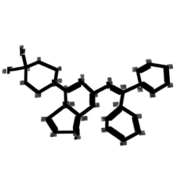 FC1(F)CCN(c2nc(N=C(c3ccccc3)c3ccccc3)cc3nccn23)CC1